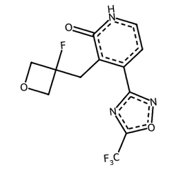 O=c1[nH]ccc(-c2noc(C(F)(F)F)n2)c1CC1(F)COC1